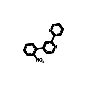 O=[N+]([O-])c1ccccc1-c1ccnc(-c2ccccn2)c1